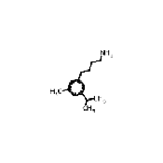 Cc1cc(CCCCN)cc(C(C)C)c1